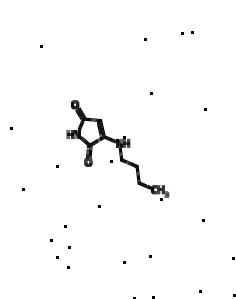 CCCCNC1=CC(=O)NC1=O